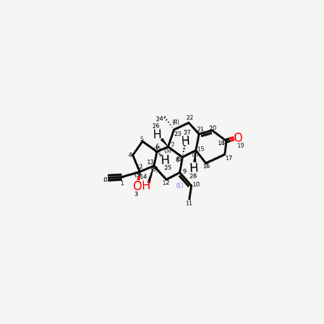 C#C[C@]1(O)CC[C@H]2[C@H]3[C@H](/C(=C/C)C[C@@]21C)[C@H]1CCC(=O)C=C1C[C@H]3C